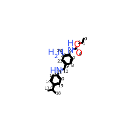 CCOC(=O)Nc1ccc(CNc2ccc(C(C)C)cc2)cc1N